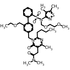 CCCCc1nc(C)c(CC(=O)N(C)C)c(=O)n1Cc1ccc(-c2ccccc2S(=O)(=O)N(COCCOC)c2nsc(C)c2C)c(COCC)c1